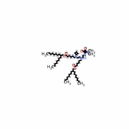 CCCCCCCCC(CCCCCCCC)COC(=O)CCCCCN(CCNc1c(N(C)C)c(=O)c1=O)CCN(CCCCCC(=O)OCC(CCCCCCCC)CCCCCCCC)C1CCC1